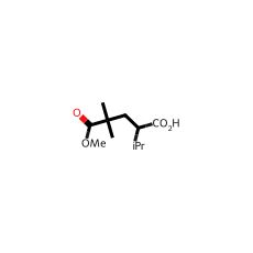 COC(=O)C(C)(C)CC(C(=O)O)C(C)C